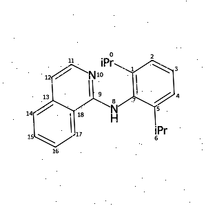 CC(C)c1cccc(C(C)C)c1Nc1nccc2ccccc12